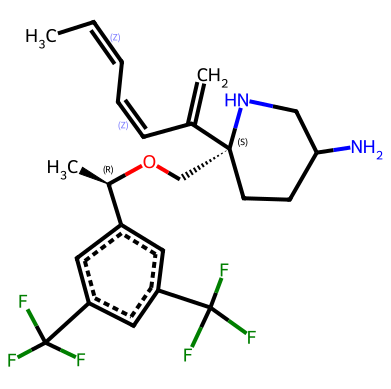 C=C(/C=C\C=C/C)[C@]1(CO[C@H](C)c2cc(C(F)(F)F)cc(C(F)(F)F)c2)CCC(N)CN1